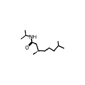 CC(C)CCC[C@@H](C)CC(=O)NC(C)C